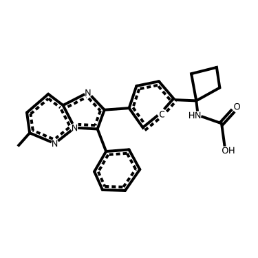 Cc1ccc2nc(-c3ccc(C4(NC(=O)O)CCC4)cc3)c(-c3ccccc3)n2n1